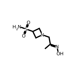 C/C(CN1CC(S(N)(=O)=O)C1)=N\O